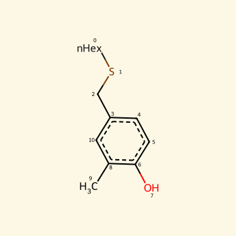 CCCCCCSCc1ccc(O)c(C)c1